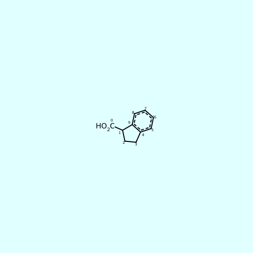 O=C(O)C1CCc2c[c]ccc21